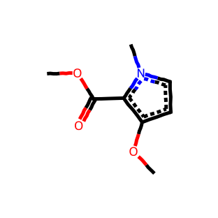 COC(=O)c1c(OC)ccn1C